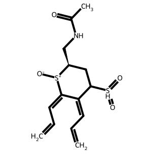 C=C/C=C1\C(=C/C=C)[S+]([O-])[C@@H](CNC(C)=O)CC1[SH](=O)=O